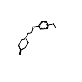 C=C1CCN(CCOc2ccc(CC)cc2)CC1